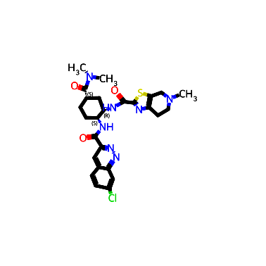 CN1CCc2nc(C(=O)N[C@@H]3C[C@@H](C(=O)N(C)C)CC[C@@H]3NC(=O)c3cc4ccc(Cl)cc4nn3)sc2C1